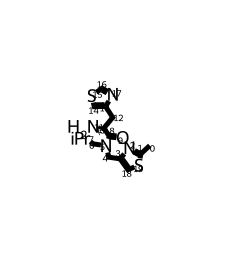 Cc1nc(CN(CC(C)C)C(=O)[C@@H](N)Cc2cscn2)cs1